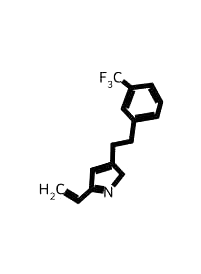 C=CC1=NCC(CCc2cccc(C(F)(F)F)c2)=C1